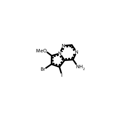 COc1c(Br)c(I)c2c(N)ncnn12